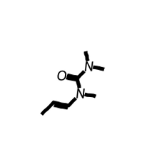 C/C=C/N(C)C(=O)N(C)C